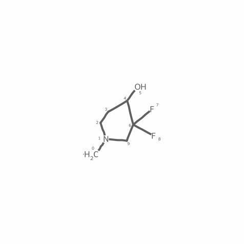 [CH2]N1CCC(O)C(F)(F)C1